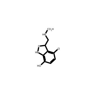 O=C(O)NCC1OBc2c(O)ccc(Cl)c21